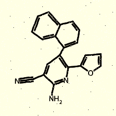 N#Cc1cc(-c2cccc3ccccc23)c(-c2ccco2)nc1N